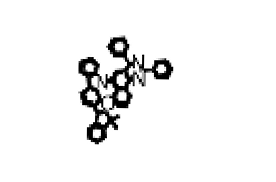 CC1(C)c2ccccc2-c2c1oc1c2ccc2c3ccccc3n(-c3cc4c(-c5ccccc5)nc(-c5ccccc5)nc4c4ccccc34)c21